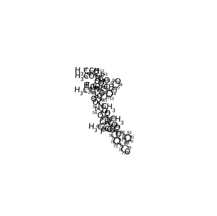 C[C@@H](OC(=O)C1(N(C)C(=O)[C@@H](Cc2ccc(C3CCOCC3)cc2)OC(=O)[C@H](CC(C)(C)F)N(C)C(=O)[C@@H](C)OC(=O)C2(N(C)C(=O)OC(C)(C)C)CC2)CC1)C(=O)N(C)[C@H](CC(C)(C)F)C(=O)OC(Cc1ccc(C2=CCOCC2)cc1)C(=O)OCc1ccccc1